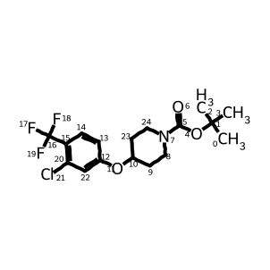 CC(C)(C)OC(=O)N1CCC(Oc2ccc(C(F)(F)F)c(Cl)c2)CC1